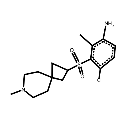 Cc1c(N)ccc(Cl)c1S(=O)(=O)C1CC2(CCN(C)CC2)C1